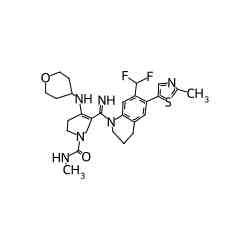 CNC(=O)N1CCC(NC2CCOCC2)=C(C(=N)N2CCCc3cc(-c4cnc(C)s4)c(C(F)F)cc32)C1